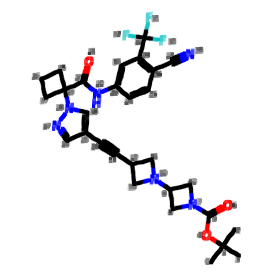 CC(C)(C)OC(=O)N1CC(N2CC(C#Cc3cnn(C4(C(=O)Nc5ccc(C#N)c(C(F)(F)F)c5)CCC4)c3)C2)C1